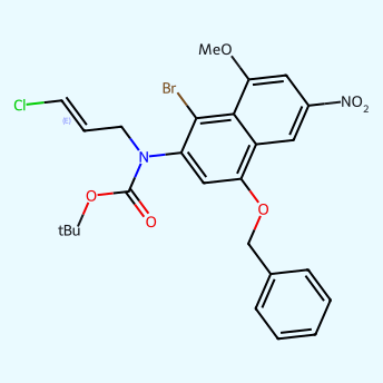 COc1cc([N+](=O)[O-])cc2c(OCc3ccccc3)cc(N(C/C=C/Cl)C(=O)OC(C)(C)C)c(Br)c12